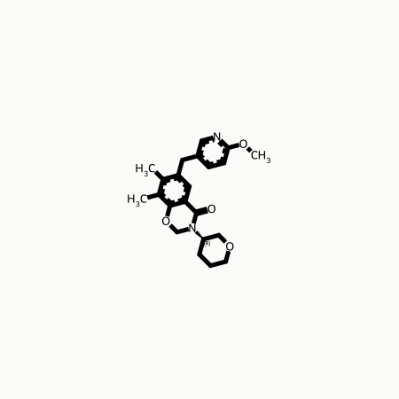 COc1ccc(Cc2cc3c(c(C)c2C)OCN([C@@H]2CCCOC2)C3=O)cn1